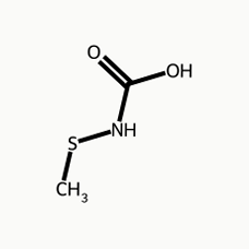 CSNC(=O)O